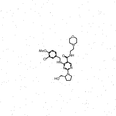 COc1ccc(CNc2nc(N3CCC[C@H]3CO)ncc2C(=O)NCCN2CCOCC2)cc1Cl